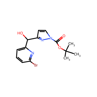 CC(C)(C)OC(=O)n1ccc(C(O)c2cccc(Br)n2)n1